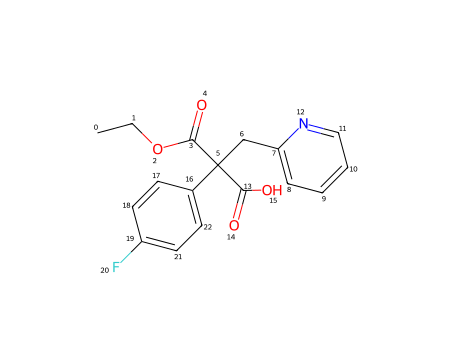 CCOC(=O)C(Cc1ccccn1)(C(=O)O)c1ccc(F)cc1